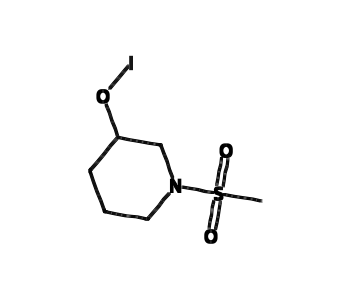 CS(=O)(=O)N1CCCC(OI)C1